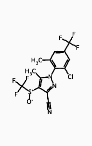 Cc1cc(C(F)(F)F)cc(Cl)c1-n1nc(C#N)c([S+]([O-])C(F)(F)F)c1C